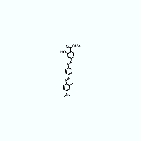 COC(=O)c1ccc(/N=N/c2ccc(/N=N/c3ccc(N(C)C)cc3C)cc2)cc1O